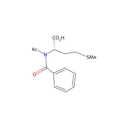 CSCC[C@@H](C(=O)O)N(C(C)=O)C(=O)c1ccccc1